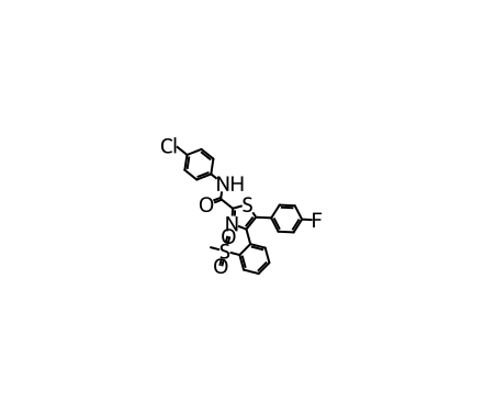 CS(=O)(=O)c1ccccc1-c1nc(C(=O)Nc2ccc(Cl)cc2)sc1-c1ccc(F)cc1